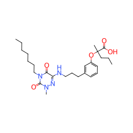 CCCCCCCn1c(=O)c(NCCCc2cccc(OC(C)(CCC)C(=O)O)c2)nn(C)c1=O